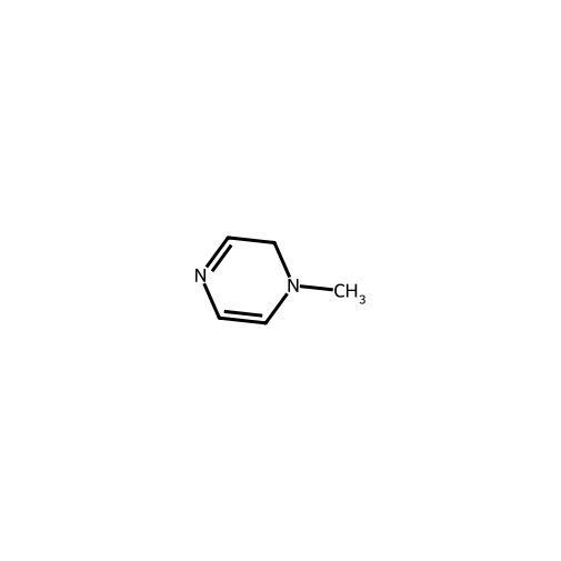 CN1C=CN=CC1